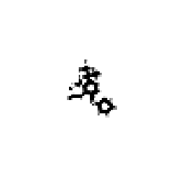 CCCc1cc(C(OCOC)(C(F)(F)F)C(F)(F)F)ccc1Oc1[c]cccc1